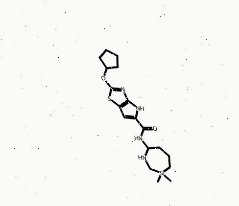 C[Si]1(C)CCCC(NC(=O)c2cc3sc(OC4CCCC4)nc3[nH]2)NC1